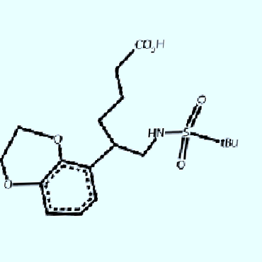 CC(C)(C)S(=O)(=O)NCC(CCCC(=O)O)c1cccc2c1OCCO2